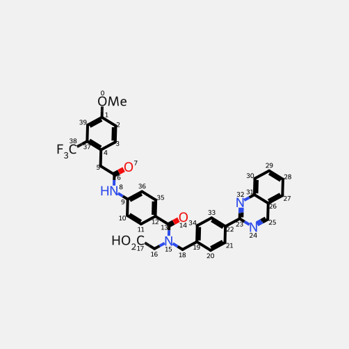 COc1ccc(CC(=O)Nc2ccc(C(=O)N(CC(=O)O)Cc3ccc(-c4ncc5ccccc5n4)cc3)cc2)c(C(F)(F)F)c1